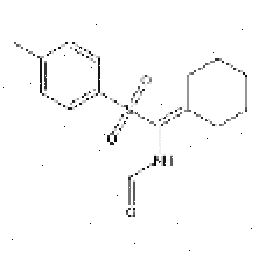 Cc1ccc(S(=O)(=O)C(NC=O)=C2CCCCC2)cc1